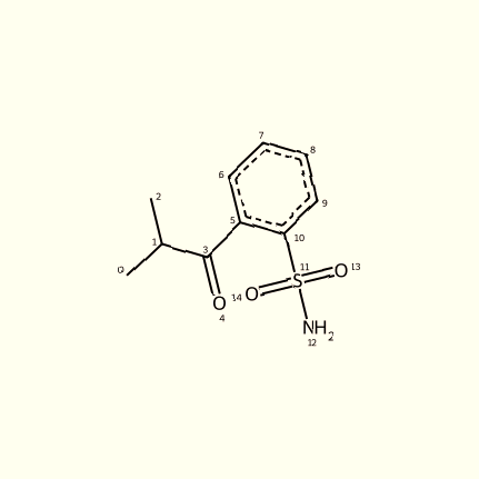 CC(C)C(=O)c1ccccc1S(N)(=O)=O